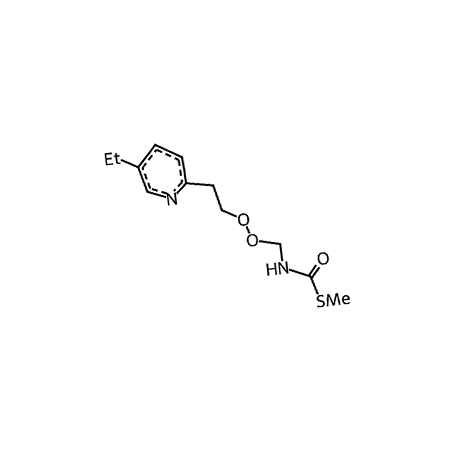 CCc1ccc(CCOOCNC(=O)SC)nc1